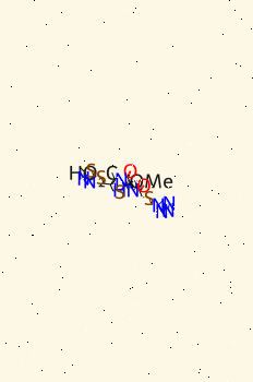 CO[C@@]1(NC(=O)CSCn2cnnn2)C(=O)N2C(C(=O)O)=C(CSc3nnc(C)s3)CSC21